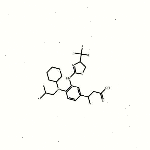 CC(C)CN(c1ccc(C(C)CC(=O)O)cc1NC1=NC(C(F)(F)F)CS1)C1CCCCC1